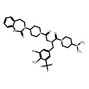 CN(C)C1CCN(C(=O)[C@H](CC(=O)N2CCC(N3CCc4ccccc4NC3=O)CC2)Cc2cc(Br)c(N)c(C(F)(F)F)c2)CC1